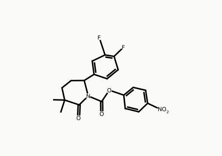 CC1(C)CCC(c2ccc(F)c(F)c2)N(C(=O)Oc2ccc([N+](=O)[O-])cc2)C1=O